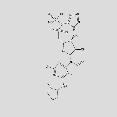 C=NN(c1nc(Cl)nc(NC2CCCC2C)c1C)[C@@H]1O[C@H](CS(=O)(=O)C(c2nnn[nH]2)P(=O)(O)O)[C@@H](O)[C@H]1O